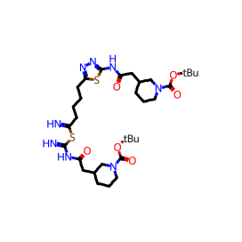 CC(C)(C)OC(=O)N1CCCC(CC(=O)NC(=N)SC(=N)CCCCc2nnc(NC(=O)CC3CCCN(C(=O)OC(C)(C)C)C3)s2)C1